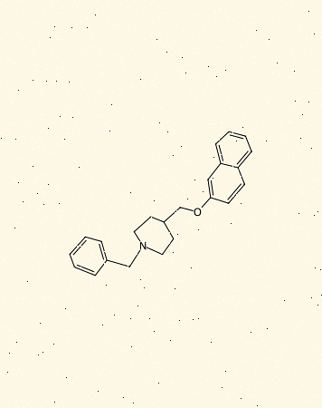 c1ccc(CN2CCC(COc3ccc4ccccc4c3)CC2)cc1